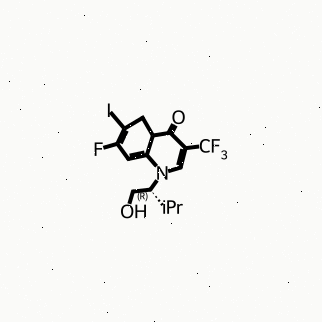 CC(C)[C@H](CO)N1C=C(C(F)(F)F)C(=O)C2CC(I)=C(F)C=C21